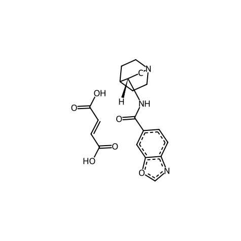 O=C(N[C@H]1CN2CCC1CC2)c1ccc2ncoc2c1.O=C(O)/C=C/C(=O)O